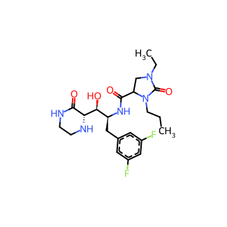 CCCN1C(=O)N(CC)CC1C(=O)N[C@@H](Cc1cc(F)cc(F)c1)[C@H](O)[C@@H]1NCCNC1=O